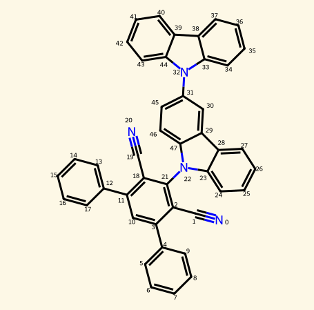 N#Cc1c(-c2ccccc2)cc(-c2ccccc2)c(C#N)c1-n1c2ccccc2c2cc(-n3c4ccccc4c4ccccc43)ccc21